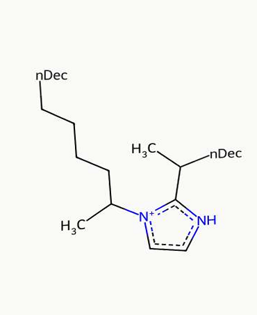 CCCCCCCCCCCCCCC(C)[n+]1cc[nH]c1C(C)CCCCCCCCCC